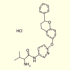 CC(C)C(N)C(=O)Nc1ccc(Oc2ccc3c(c2)CCC(c2ccccc2)O3)nc1.Cl